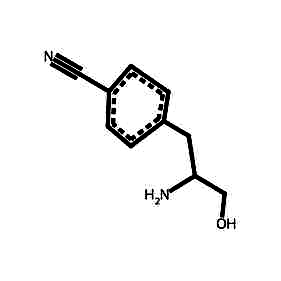 N#Cc1ccc(CC(N)CO)cc1